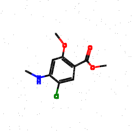 CNc1cc(OC)c(C(=O)OC)cc1Cl